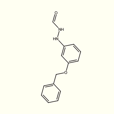 O=CNNc1cccc(OCc2ccccc2)c1